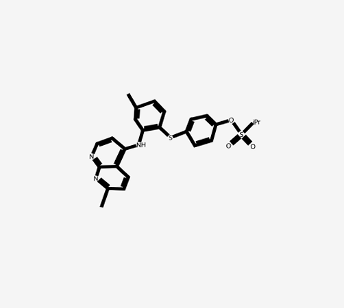 Cc1ccc(Sc2ccc(OS(=O)(=O)C(C)C)cc2)c(Nc2ccnc3nc(C)ccc23)c1